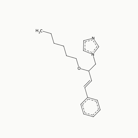 CCCCCCOC(/C=C/c1ccccc1)Cn1ccnc1